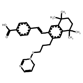 CC1(C)CCC(C)(C)c2cc(CCCSN3C=NC=CC3)c(/C=C/c3ccc(C(=O)O)cc3)cc21